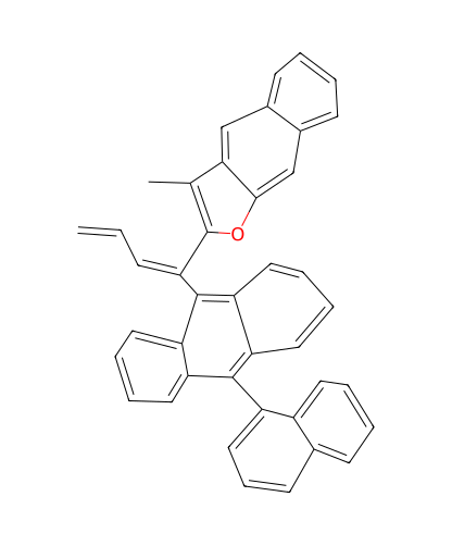 C=C/C=C(\c1oc2cc3ccccc3cc2c1C)c1c2ccccc2c(-c2cccc3ccccc23)c2ccccc12